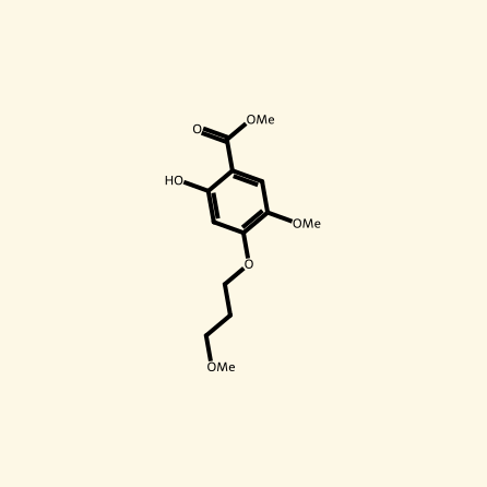 COCCCOc1cc(O)c(C(=O)OC)cc1OC